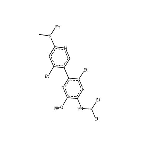 CCc1cc(N(C)C(C)C)ncc1-c1nc(OC)c(NC(CC)CC)nc1CC